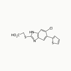 O=C(O)CSc1nc2cc(-c3cccs3)c(Cl)cc2[nH]1